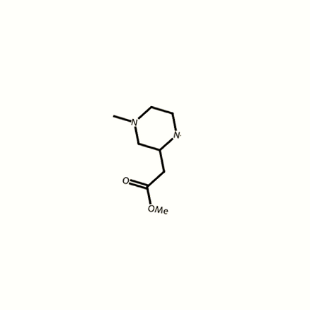 COC(=O)CC1CN(C)CC[N]1